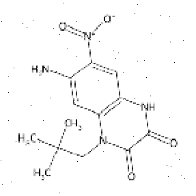 CC(C)(C)Cn1c(=O)c(=O)[nH]c2cc([N+](=O)[O-])c(N)cc21